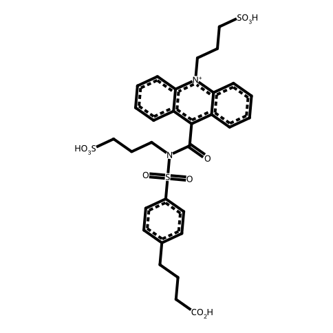 O=C(O)CCCc1ccc(S(=O)(=O)N(CCCS(=O)(=O)O)C(=O)c2c3ccccc3[n+](CCCS(=O)(=O)O)c3ccccc23)cc1